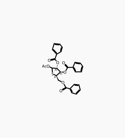 CC(=O)OC1S[C@H](COC(=O)c2ccccc2)[C@H](OC(=O)c2ccccc2)[C@H]1OC(=O)c1ccccc1